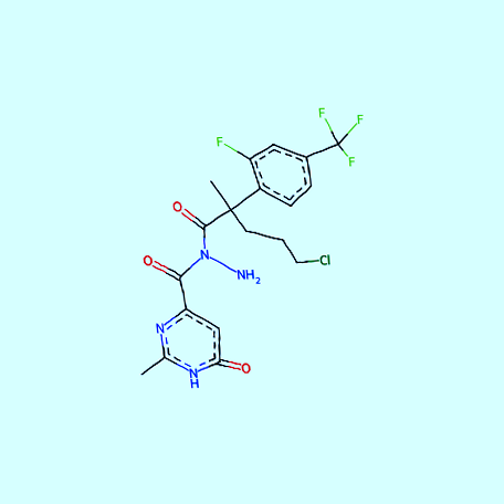 Cc1nc(C(=O)N(N)C(=O)C(C)(CCCCl)c2ccc(C(F)(F)F)cc2F)cc(=O)[nH]1